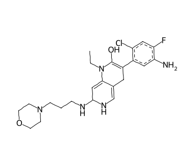 CCN1C2=CC(NCCCN3CCOCC3)NC=C2CC(c2cc(N)c(F)cc2Cl)=C1O